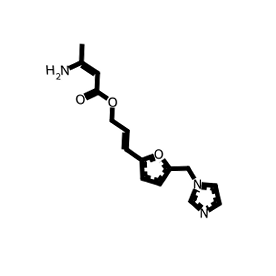 C/C(N)=C/C(=O)OC/C=C/c1ccc(Cn2ccnc2)o1